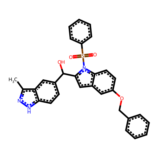 Cc1n[nH]c2ccc(C(O)c3cc4cc(OCc5ccccc5)ccc4n3S(=O)(=O)c3ccccc3)cc12